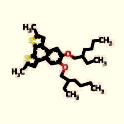 CCCCC(CC)COc1cc2c(cc1OCC(CC)CCCC)c1cc(C)sc1c1sc(C)cc21